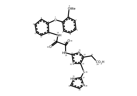 COc1ccccc1Oc1ccccc1NC(=O)C(=O)Nc1nc(CC(=O)O)c(Sc2ncc[nH]2)s1